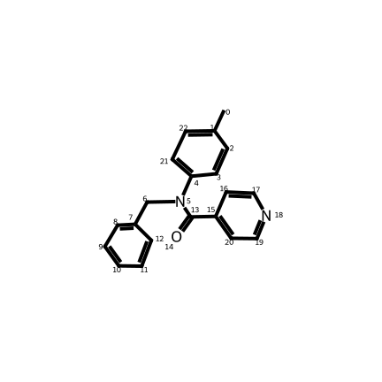 Cc1ccc(N(Cc2ccccc2)C(=O)c2ccncc2)cc1